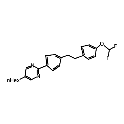 CCCCCCc1cnc(-c2ccc(CCc3ccc(OC(F)F)cc3)cc2)nc1